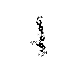 CCN1CCC(c2ccc(C(=O)Nc3cc(Oc4cc5ccn(C(=O)NC)c5cc4COC)ccn3)cc2)CC1